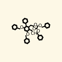 CCc1c(OCc2ccccc2)cc(OCc2ccccc2)c(-c2ccccc2)c1CC1O[C@@H](OCc2ccccc2)[C@@H](OCc2ccccc2)O1